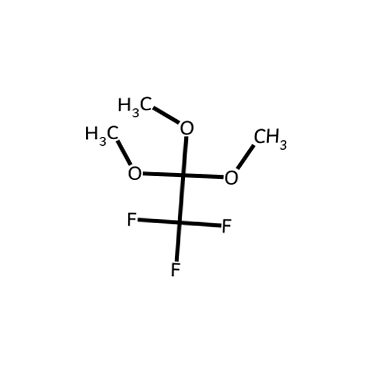 COC(OC)(OC)C(F)(F)F